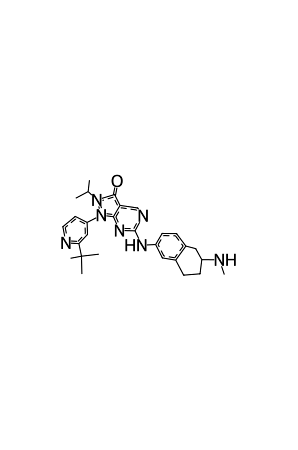 CNC1CCc2cc(Nc3ncc4c(=O)n(C(C)C)n(-c5ccnc(C(C)(C)C)c5)c4n3)ccc2C1